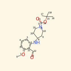 COc1cccc(NC2CCN(C(=O)OC(C)(C)C)CC2)c1C=O